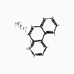 [Cl-].[Cl-].[Pd+2].c1cnc2c(c1)ccc1ncccc12